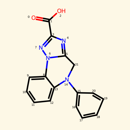 O=C(O)c1nc2n(n1)-c1ccccc1N(c1ccccc1)C2